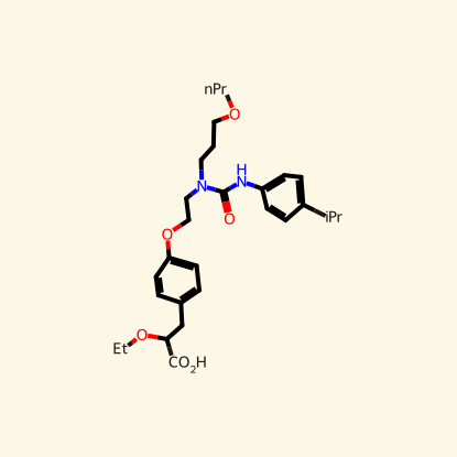 CCCOCCCN(CCOc1ccc(CC(OCC)C(=O)O)cc1)C(=O)Nc1ccc(C(C)C)cc1